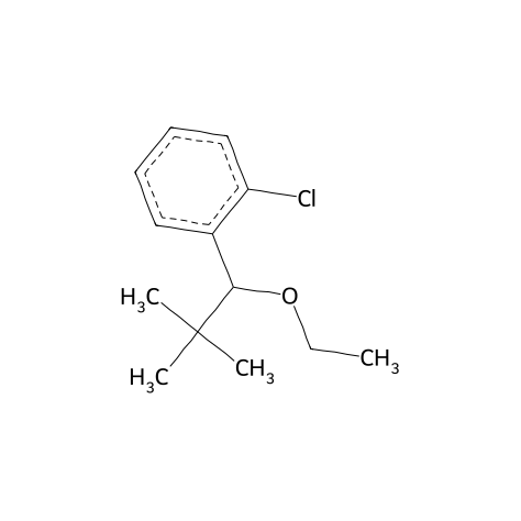 CCOC(c1ccccc1Cl)C(C)(C)C